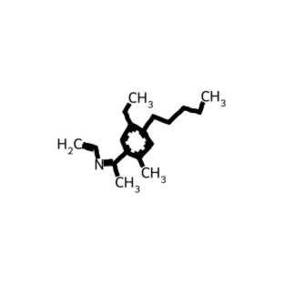 C=C/N=C(/C)c1cc(CC)c(CCCCC)cc1C